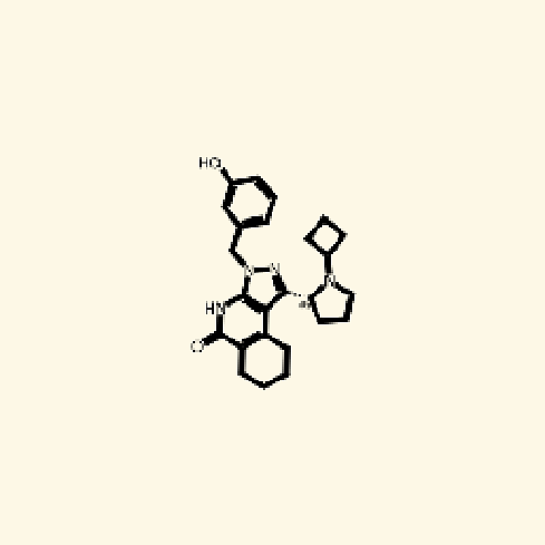 O=c1[nH]c2c(c([C@H]3CCCN3C3CCC3)nn2Cc2cccc(O)c2)c2c1CCCC2